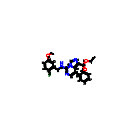 CCOC(=O)c1ncn2c(NCc3cc(OC)ccc3F)ncc(-c3ccccc3)c12